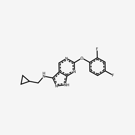 Fc1ccc(Oc2ncc3c(NCC4CC4)n[nH]c3n2)c(F)c1